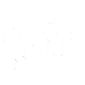 CC(=O)/N=N/Cc1ccccc1CC1CCC(=O)N(c2c(Cl)cccc2Cl)C1